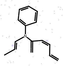 C=C/C=C\C(=C)N(/C=C/C)c1ccccc1